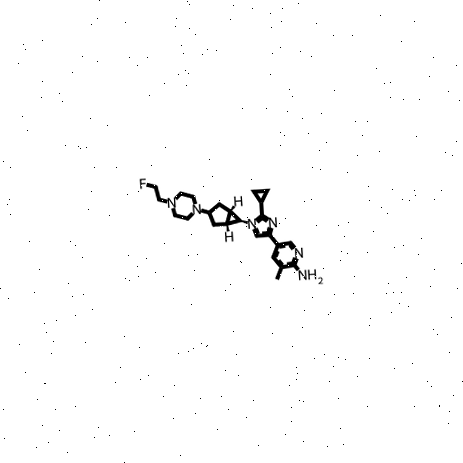 Cc1cc(-c2cn([C@H]3[C@@H]4CC(N5CCN(CCF)CC5)C[C@@H]43)c(C3CC3)n2)cnc1N